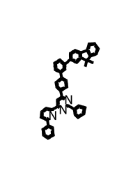 CC1(C)c2ccccc2-c2ccc(-c3cccc(-c4ccc(-c5cc(-c6cccc(-c7ccccc7)n6)nc(-c6ccccc6)n5)cc4)c3)cc21